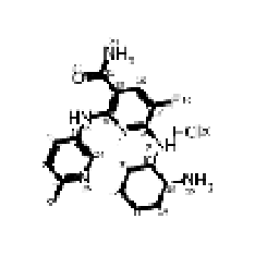 Cc1ccc(Nc2nc(N[C@@H]3CCCC[C@@H]3N)c(F)cc2C(N)=O)cn1.Cl